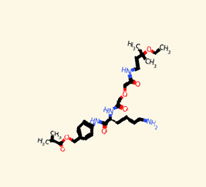 CCOC(C)(C)CCNC(=O)COCC(=O)N[C@@H](CCCCN)C(=O)Nc1ccc(COC(=O)C(C)C)cc1